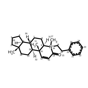 C[C@@]12CCC[C@H]1[C@@H]1CC[C@@H]3[C@](C)(C=CC(=O)[N+]3(C)CCc3ccccc3)[C@H]1CC2